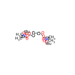 CC1[C@H](C)C[C@@H](C(=O)OCC(=O)c2ccc(-c3cccc4c(C(=O)COC(=O)[C@@H]5C[C@@H](C)[C@@H](C)N5C(=O)OC(C)(C)C)cccc34)cc2)N1C(=O)OC(C)(C)C